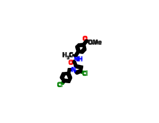 COC(=O)c1ccc([C@H](C)NC(=O)c2cc(Cl)cn2Cc2ccc(Cl)cc2)cc1